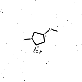 O=C(O)[C@H]1C[C@H](OI)CN1I